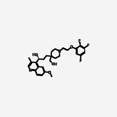 COc1ccc2ncc(C)c([C@H](O)CCC3(CO)CCN(CCOc4cc(F)cc(F)c4F)CC3)c2c1